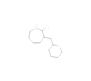 [N]C1NCCCCC1CC1CCCCO1